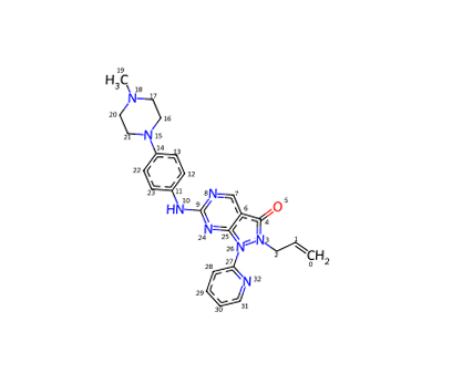 C=CCn1c(=O)c2cnc(Nc3ccc(N4CCN(C)CC4)cc3)nc2n1-c1ccccn1